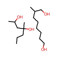 CC(CO)CCCCCCO.CCCC(C)(O)CC(C)O